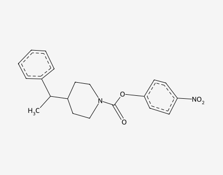 CC(c1ccccc1)C1CCN(C(=O)Oc2ccc([N+](=O)[O-])cc2)CC1